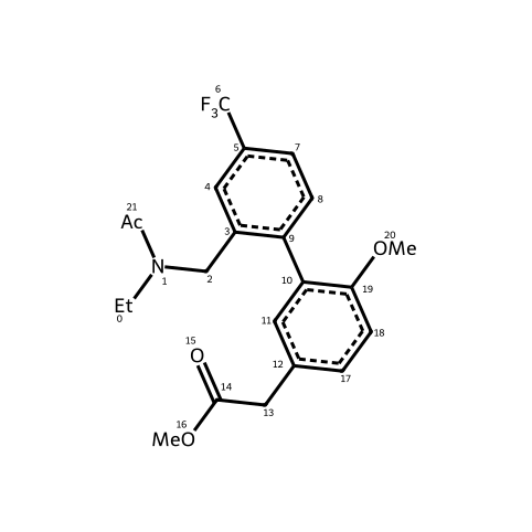 CCN(Cc1cc(C(F)(F)F)ccc1-c1cc(CC(=O)OC)ccc1OC)C(C)=O